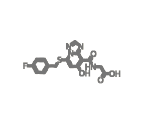 O=C(O)CNC(=O)c1c(O)cc(SCc2ccc(F)cc2)n2ncnc12